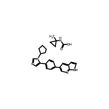 CC1(NC(=O)O)CC1.c1cc2cc(-c3ccc(-c4cncn4C4CCCC4)cc3)cnc2[nH]1